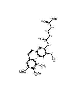 COc1cc(/C=C\c2ccc(CO)c(OC(=O)CCCC(=O)C(C)(C)C)c2)cc(C)c1OC